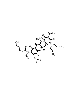 CCCCN1CC(=O)N(c2cc(OC(F)(F)F)c3c(c2O)C(=O)C2=C(O)[C@]4(O)C(=O)C(C(N)=O)=C(O)[C@@H](N(CCC)CCC)[C@@H]4C[C@@H]2C3)C1=O